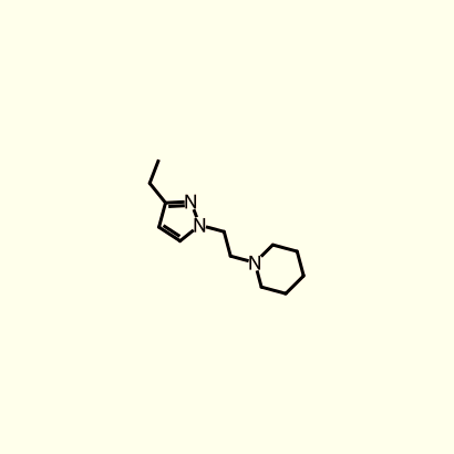 CCc1ccn(CCN2CCCCC2)n1